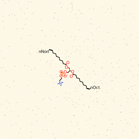 CCCCCCCC/C=C\CCCCCCCC(=O)O[C@H](COC(=O)CCCCCCC/C=C\CCCCCCCCC)COP(=O)([O-])OCC[N+](C)(C)C